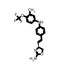 Cc1cc(Nc2ccc(C=C[C@H]3COC(N)=N3)cc2)ccc1OC(F)(F)F